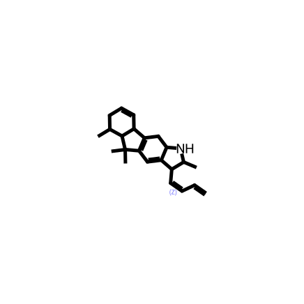 C=C/C=C\C1C2=CC3=C(CC2NC1C)C1C=CCC(C)C1C3(C)C